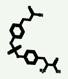 NC(Cc1ccc(OS(=O)(=O)Oc2ccc(CCC(=O)O)cc2)cc1)C(=O)O